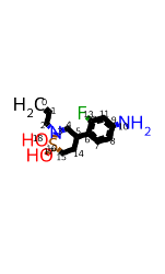 C=CCN1CC(c2ccc(N)cc2F)CCS1(O)O